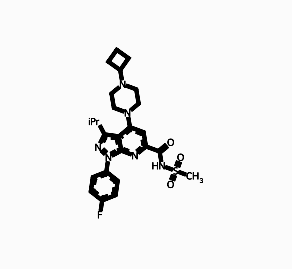 CC(C)c1nn(-c2ccc(F)cc2)c2nc(C(=O)NS(C)(=O)=O)cc(N3CCN(C4CCC4)CC3)c12